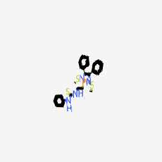 CSN1[C@H](c2ccccc2)[C@@H](c2ccccc2)N(SC)P1CCNC(=S)Nc1ccccc1